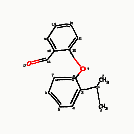 CC(C)c1ccccc1Oc1ccccc1C=O